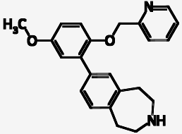 COc1ccc(OCc2ccccn2)c(-c2ccc3c(c2)CCNCC3)c1